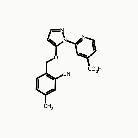 Cc1ccc(COc2ccnn2-c2cc(C(=O)O)ccn2)c(C#N)c1